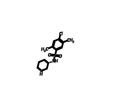 Cc1cc(S(=O)(=O)N[C@H]2CCCNC2)c(C)cc1Cl